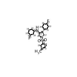 Cn1cnc(S(=O)(=O)N2C[C@@H](Nc3cccc(F)c3)[C@H](c3ccc(F)cc3)C2)c1